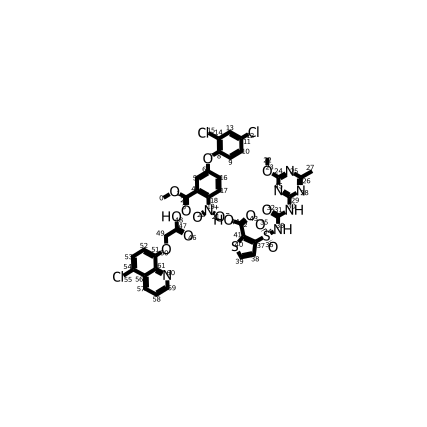 COC(=O)c1cc(Oc2ccc(Cl)cc2Cl)ccc1[N+](=O)[O-].COc1nc(C)nc(NC(=O)NS(=O)(=O)c2ccsc2C(=O)O)n1.O=C(O)COc1ccc(Cl)c2cccnc12